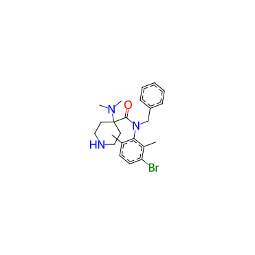 Cc1ccc(Br)c(C)c1N(Cc1ccccc1)C(=O)C1(N(C)C)CCNCC1